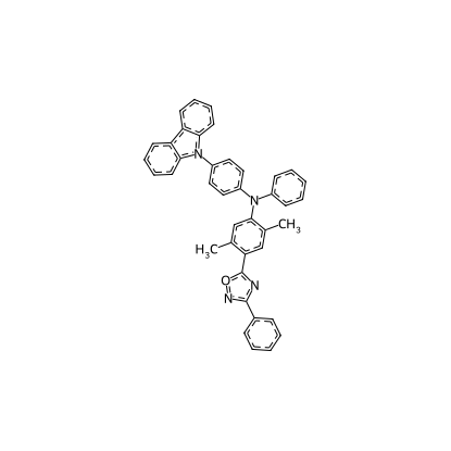 Cc1cc(N(c2ccccc2)c2ccc(-n3c4ccccc4c4ccccc43)cc2)c(C)cc1-c1nc(-c2ccccc2)no1